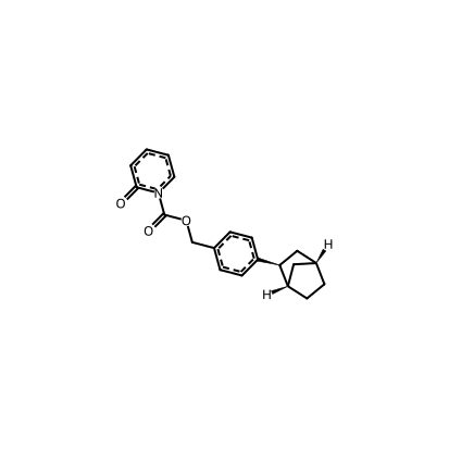 O=C(OCc1ccc([C@H]2C[C@@H]3CC[C@H]2C3)cc1)n1ccccc1=O